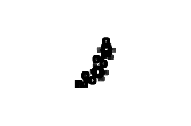 CCC(C)C(=O)Oc1ccc(OC(=O)C2CC3CC2C2OC32)cc1